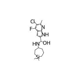 Cc1nc2[nH]c(C(O)NC3CCC[Si](C)(C)CC3)cc2c(F)c1Cl